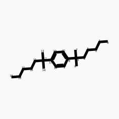 CCCCCC(C)(C)c1[c]cc(C(C)(C)CCCCC)cc1